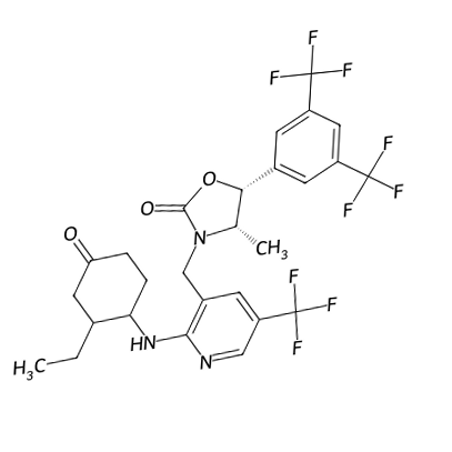 CCC1CC(=O)CCC1Nc1ncc(C(F)(F)F)cc1CN1C(=O)O[C@H](c2cc(C(F)(F)F)cc(C(F)(F)F)c2)[C@@H]1C